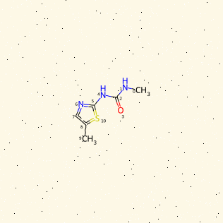 CNC(=O)Nc1ncc(C)s1